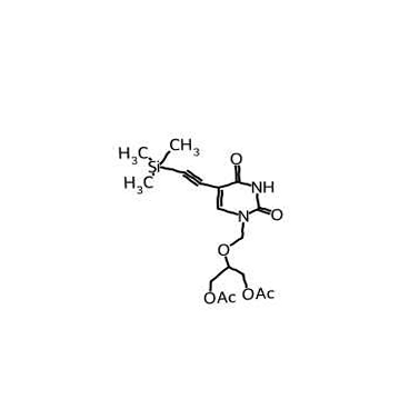 CC(=O)OCC(COC(C)=O)OCn1cc(C#C[Si](C)(C)C)c(=O)[nH]c1=O